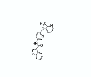 Cc1ncccc1Oc1ccc(NC(=O)c2csc3ccccc23)cn1